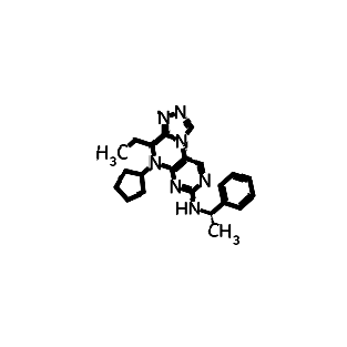 CCC1c2nncn2-c2cnc(N[C@@H](C)c3ccccc3)nc2N1C1CCCC1